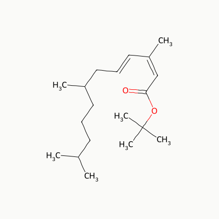 CC(C=CCC(C)CCCC(C)C)=CC(=O)OC(C)(C)C